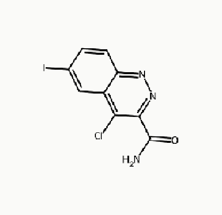 NC(=O)c1nnc2ccc(I)cc2c1Cl